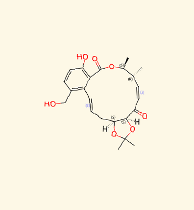 C[C@@H]1/C=C\C(=O)[C@H]2OC(C)(C)O[C@H]2C/C=C/c2c(CO)ccc(O)c2C(=O)O[C@H]1C